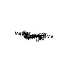 CCN(C(=O)[C@@H](NC(=O)OC)C(C)C)[C@H](c1ncc(-c2ccc3c(c2)oc2cc(-c4cnc([C@@H]5CCCN5C(=O)[C@@H](NC(=O)OC)C(C)C)[nH]4)ccc23)[nH]1)C(C)C